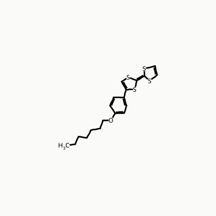 CCCCCCCOc1ccc(C2=CSC(=C3SC=CS3)S2)cc1